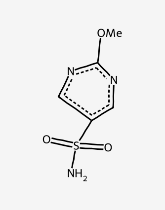 COc1ncc(S(N)(=O)=O)cn1